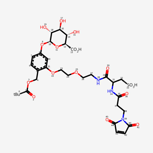 CC(C)(C)C(=O)OCc1ccc(O[C@@H]2O[C@H](C(=O)O)[C@@H](O)[C@H](O)[C@H]2O)cc1OCCOCCNC(=O)C(CS(=O)(=O)O)NC(=O)CCN1C(=O)C=CC1=O